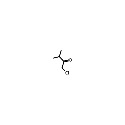 CC(C)C(=O)[CH]Cl